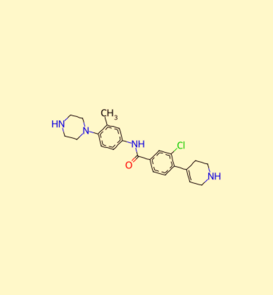 Cc1cc(NC(=O)c2ccc(C3=CCNCC3)c(Cl)c2)ccc1N1CCNCC1